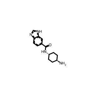 N[C@H]1CC[C@H](NC(=O)c2ccc3nc[nH]c3c2)CC1